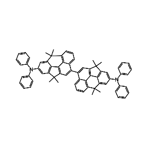 CC1(C)c2cc(N(c3ccccc3)c3ccccc3)cc3c2-c2c1cc(-c1cc4c5c6c(cccc16)C(C)(C)c1cc(N(c6ccccc6)c6ccccc6)cc(c1-5)C4(C)C)c1cccc(c21)C3(C)C